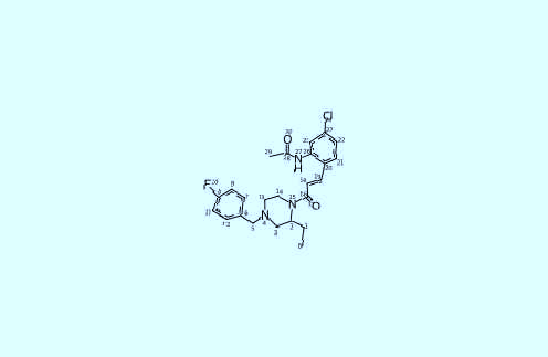 CCC1CN(Cc2ccc(F)cc2)CCN1C(=O)/C=C/c1ccc(Cl)cc1NC(C)=O